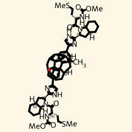 COC(=O)N[C@@H](CCSC)C(=O)N1[C@H](c2nc(-c3ccc(C4=CC5=CC[C@@H]4C[C@@H](C)c4ccc(c(-c6ccc(-c7c[nH]c([C@@H]8C[C@@H]9CCCC[C@@H]9N8C(=O)[C@H](CCSC)NC(=O)OC)n7)cc6)c4)CC5)cc3)c[nH]2)C[C@@H]2CCCC[C@@H]21